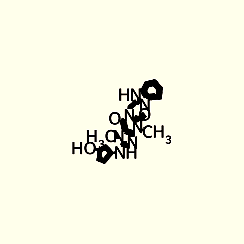 Cn1c(N[C@H]2CC[C@@H](O)C2)nc2c1c(=O)n(Cc1nc3ccccc3[nH]1)c(=O)n2C